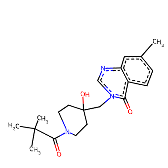 Cc1ccc2c(=O)n(CC3(O)CCN(C(=O)C(C)(C)C)CC3)cnc2c1